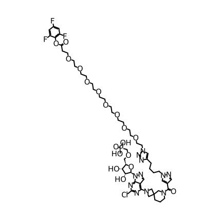 O=C(CCOCCOCCOCCOCCOCCOCCOCCOCCn1cc(CCCCn2cc(C(=O)N3CCCC4(C3)CN(c3nc(Cl)nc5c3cnn5[C@@H]3O[C@H](COCP(=O)(O)O)[C@@H](O)[C@H]3O)C4)cn2)nn1)Oc1c(F)cc(F)cc1F